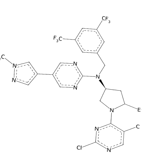 CCC1C[C@H](N(Cc2cc(C(F)(F)F)cc(C(F)(F)F)c2)c2ncc(-c3cnn(C)c3)cn2)CN1c1nc(Cl)ncc1Cl